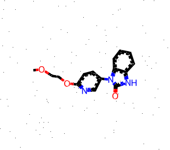 COCCOc1ccc(-n2c(=O)[nH]c3ccccc32)cn1